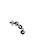 CC1OC(c2coc(N3CCC(Oc4ccccn4)CC3)n2)O1